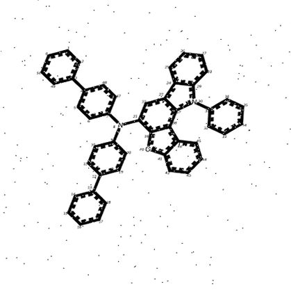 c1ccc(-c2ccc(N(c3ccc(-c4ccccc4)cc3)c3cc4c5ccccc5n(-c5ccccc5)c4c4c3oc3ccccc34)cc2)cc1